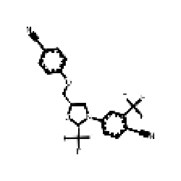 N#Cc1ccc(OC[C@H]2CN(c3ccc(C#N)c(C(F)(F)F)c3)[C@@H](C(F)(F)F)O2)cc1